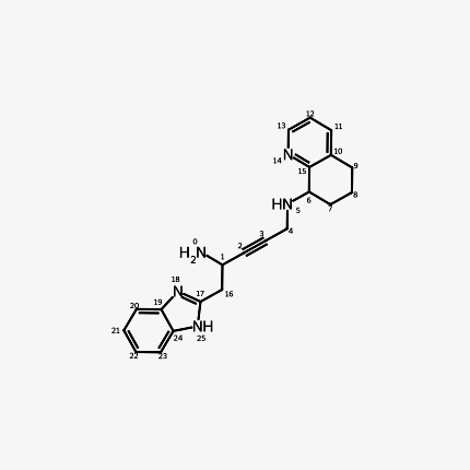 NC(C#CCNC1CCCc2cccnc21)Cc1nc2ccccc2[nH]1